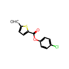 O=Cc1ccc(C(=O)Oc2ccc(Cl)cc2)s1